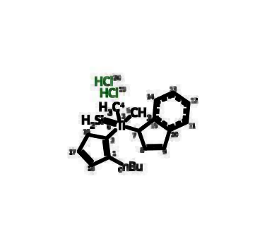 CCCCC1=[C]([Ti]([CH3])([CH3])(=[SiH2])[CH]2C=Cc3ccccc32)CC=C1.Cl.Cl